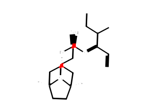 C=C/C(=N/C(=N)N[C@@H]1C[C@H]2CC[C@@H](C1)N2CCC#N)C(C)CC